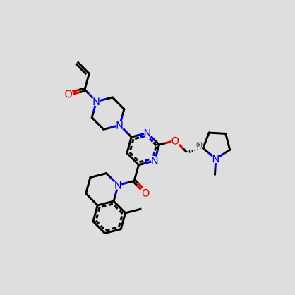 C=CC(=O)N1CCN(c2cc(C(=O)N3CCCc4cccc(C)c43)nc(OC[C@@H]3CCCN3C)n2)CC1